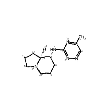 Cc1cnnc(N[C@@H]2CCCN3CCC[C@@H]23)n1